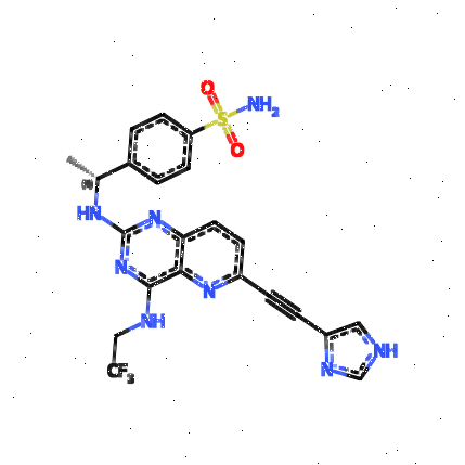 C[C@@H](Nc1nc(NCC(F)(F)F)c2nc(C#Cc3c[nH]cn3)ccc2n1)c1ccc(S(N)(=O)=O)cc1